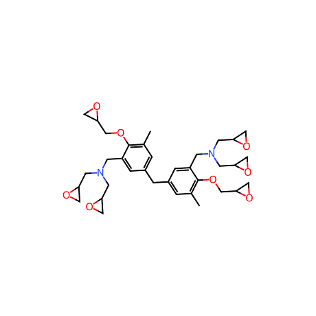 Cc1cc(Cc2cc(C)c(OCC3CO3)c(CN(CC3CO3)CC3CO3)c2)cc(CN(CC2CO2)CC2CO2)c1OCC1CO1